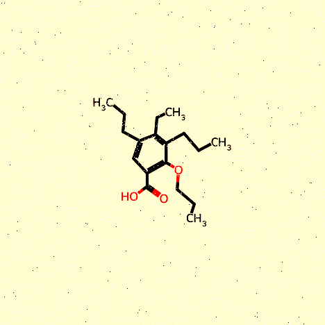 CCCOc1c(C(=O)O)cc(CCC)c(CC)c1CCC